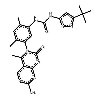 Cc1cc(F)c(NC(=O)Nc2cc(C(C)(C)C)no2)cc1-n1c(C)c2cnc(N)nc2nc1=O